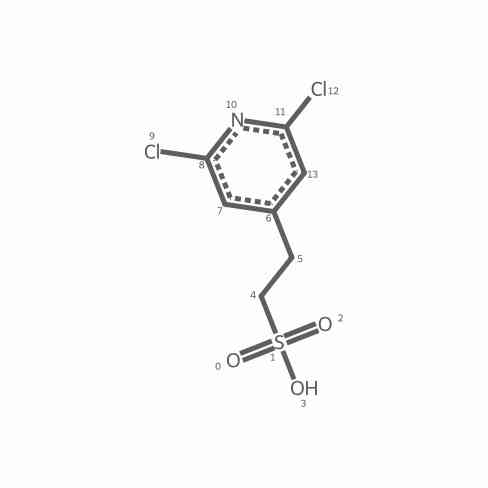 O=S(=O)(O)CCc1cc(Cl)nc(Cl)c1